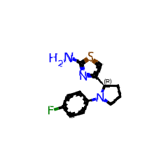 Nc1nc([C@H]2CCCN2c2ccc(F)cc2)cs1